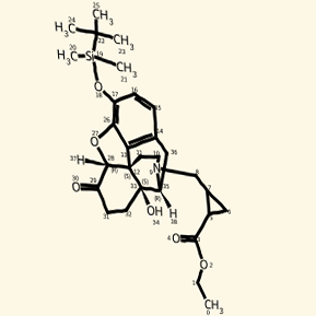 CCOC(=O)C1CC1CN1CC[C@]23c4c5ccc(O[Si](C)(C)C(C)(C)C)c4O[C@H]2C(=O)CC[C@@]3(O)[C@H]1C5